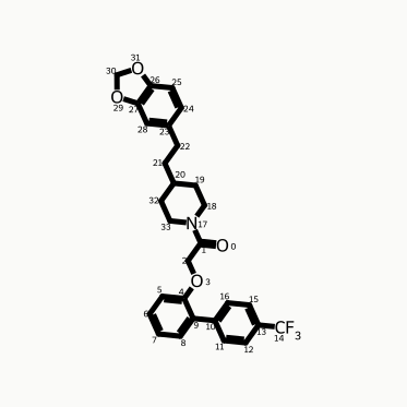 O=C(COc1ccccc1-c1ccc(C(F)(F)F)cc1)N1CCC(CCc2ccc3c(c2)OCO3)CC1